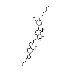 CCCCCCc1ccc(-c2ccc(C(F)CCOc3ccc(OCCCC)cc3F)c(F)c2F)cc1F